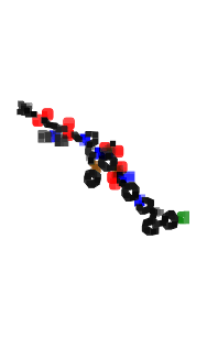 CCN(CC)[C@@H](CCC(=O)OCC[Si](C)(C)C)C(=O)OCCN1CCC[C@H]1C[C@H](CSc1ccccc1)Nc1ccc(S(=O)(=O)NC(=O)c2ccc(N3CCC([C@@H](C)c4ccccc4-c4ccc(Cl)cc4)CC3)cc2)cc1S(C)(=O)=O